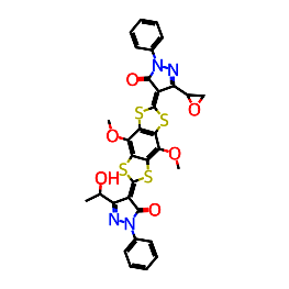 COc1c2c(c(OC)c3c1SC(=C1C(=O)N(c4ccccc4)N=C1C1CO1)S3)SC(=C1C(=O)N(c3ccccc3)N=C1C(C)O)S2